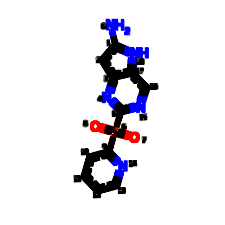 Nc1cc2nc(S(=O)(=O)c3ccccn3)ncc2[nH]1